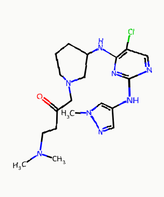 CN(C)CCC(=O)CN1CCCC(Nc2nc(Nc3cnn(C)c3)ncc2Cl)C1